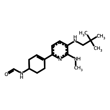 CNc1nc(C2=CCC(NC=O)CC2)ccc1NCC(C)(C)C